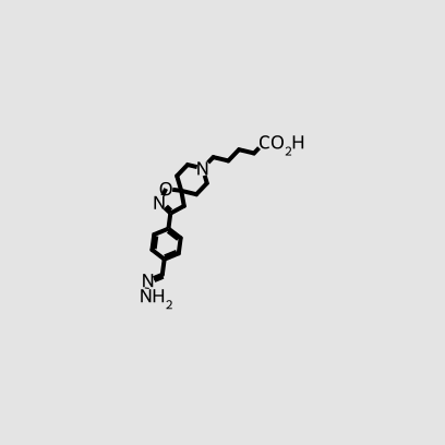 NN=Cc1ccc(C2=NOC3(CCN(CCCCC(=O)O)CC3)C2)cc1